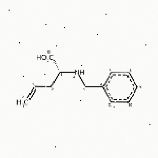 C=CC[C@@H](NCc1ccccc1)C(=O)O